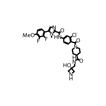 COc1ccc(-c2cnc(C(=O)Nc3ccc(C(=O)N4CCC(C(=O)NCC5(O)CNC5)CC4)c(Cl)c3)n2C)c(F)c1F